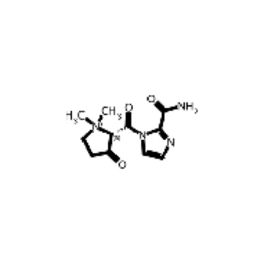 C[N+]1(C)CCC(=O)[C@H]1C(=O)n1c[c]nc1C(N)=O